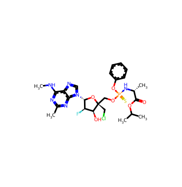 CNc1nc(C)nc2c1ncn2[C@@H]1O[C@](CCl)(CO[P@](=S)(N[C@H](C)C(=O)OC(C)C)Oc2ccccc2)[C@@H](O)[C@H]1F